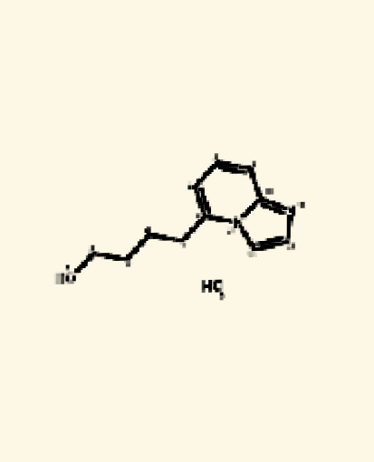 Cl.OCCCCc1cccc2nccn12